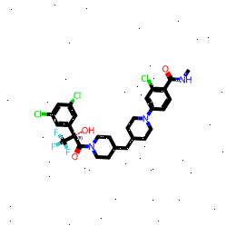 CNC(=O)c1ccc(N2CCC(CC3CCN(C(=O)[C@](O)(c4cc(Cl)cc(Cl)c4)C(F)(F)F)CC3)CC2)cc1Cl